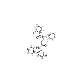 O=C(CC(Cc1ccccc1)NC(=O)c1ccccc1F)Nc1cc(F)ccc1N1CCOCC1